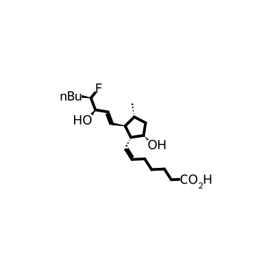 CCCC[C@@H](F)[C@H](O)/C=C/[C@@H]1[C@@H](/C=C\CCCCC(=O)O)[C@@H](O)C[C@H]1C